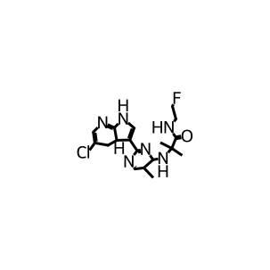 CC1C=NC(C2=CNC3=NC=C(Cl)C[C@@H]23)=NC1NC(C)(C)C(=O)NCCF